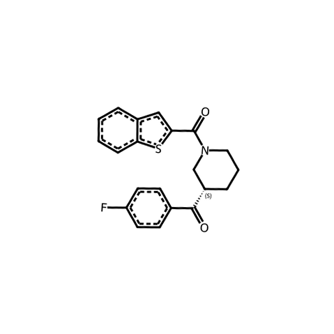 O=C(c1ccc(F)cc1)[C@H]1CCCN(C(=O)c2cc3ccccc3s2)C1